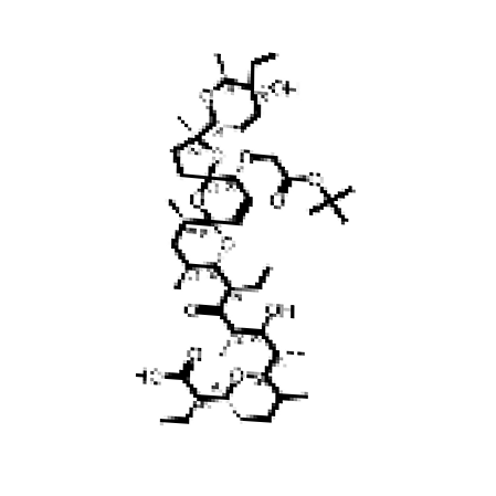 CC[C@@H](C(=O)[C@@H](C)[C@@H](O)[C@H](C)[C@@H]1O[C@@H]([C@@H](CC)C(=O)O)CCC1C)[C@H]1O[C@]2(C=C[C@@H](OCC(=O)OC(C)(C)C)[C@]3(CC[C@@](C)([C@H]4CC[C@](O)(CC)[C@H](C)O4)O3)O2)[C@H](C)C[C@@H]1C